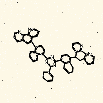 C1=CCCC(c2nc(-c3ccc(C4Cc5cccnc5-c5ncccc54)c4c3C=CCC4)nc(-c3ccc(-c4cc5cccnc5c5ncccc45)c4ccccc34)n2)=C1